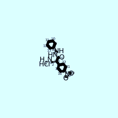 Cl.NC[C@@H](C(=O)NNc1ccccc1)c1ccc([N+](=O)[O-])cc1